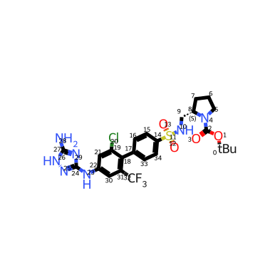 CC(C)(C)OC(=O)N1CCC[C@H]1CNS(=O)(=O)c1ccc(-c2c(Cl)cc(Nc3n[nH]c(N)n3)cc2C(F)(F)F)cc1